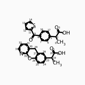 CC(C(=O)O)c1ccc(C(=O)c2cccs2)cc1.CC(C(=O)O)c1ccc2c(c1)Cc1cccnc1O2